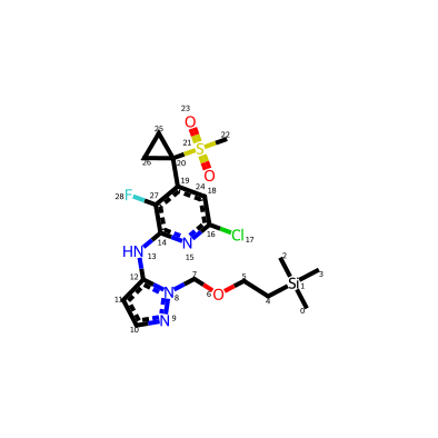 C[Si](C)(C)CCOCn1nccc1Nc1nc(Cl)cc(C2(S(C)(=O)=O)CC2)c1F